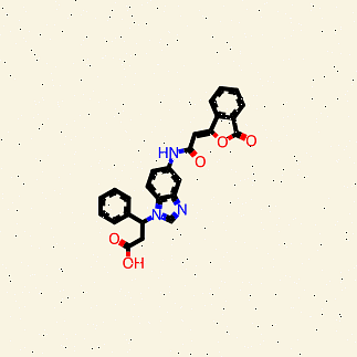 O=C(O)CC(c1ccccc1)n1cnc2cc(NC(=O)/C=C3\OC(=O)c4ccccc43)ccc21